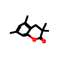 Cc1cc(C)c2c(c1)OC(=O)C(C)(C)C2